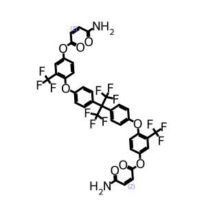 NC(=O)/C=C\C(=O)Oc1ccc(Oc2ccc(C(c3ccc(Oc4ccc(OC(=O)/C=C\C(N)=O)cc4C(F)(F)F)cc3)(C(F)(F)F)C(F)(F)F)cc2)c(C(F)(F)F)c1